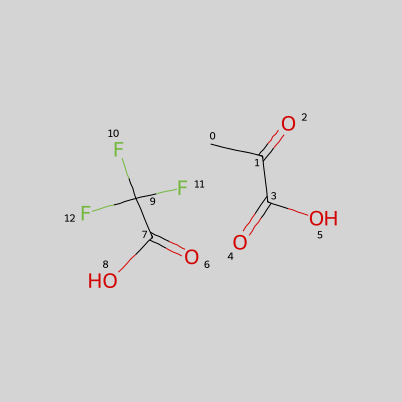 CC(=O)C(=O)O.O=C(O)C(F)(F)F